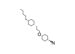 CCCCC[C@H]1CC[C@H](CCCO[C@H]2CC[C@H](C#N)CC2)CC1